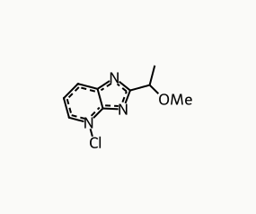 COC(C)c1nc2cccn(Cl)c-2n1